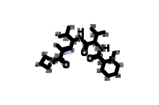 C/C(=C\C(NC(=O)C(NC(=O)C1CCCCN1C)C(C)C)C(C)C)C(=O)N1CCC1